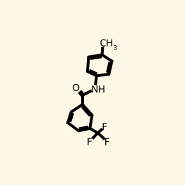 Cc1ccc(NC(=O)c2cccc(C(F)(F)F)c2)cc1